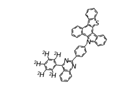 [2H]c1c([2H])c([2H])c(-c2nc(-c3ccc(-n4c5ccccc5c5c6sc7ccccc7c6c6ccccc6c54)cc3)nc3ccccc23)c([2H])c1[2H]